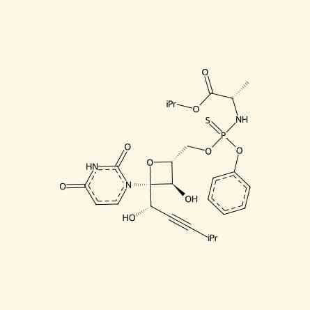 CC(C)C#C[C@H](O)[C@@]1(n2ccc(=O)[nH]c2=O)O[C@H](COP(=S)(N[C@@H](C)C(=O)OC(C)C)Oc2ccccc2)[C@H]1O